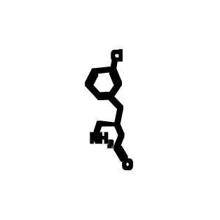 NC[C@H](CC=O)Cc1cccc(Cl)c1